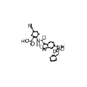 N#Cc1ccc(NC(=O)c2onc3cc(NS(=O)(=O)Cc4ccccc4)ccc23)c(C(=O)O)c1